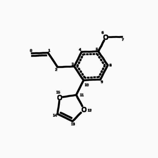 C=CCc1cc(OC)ccc1C1OC=CO1